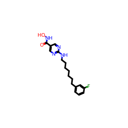 O=C(NO)c1cnc(NCCCCCCCc2cccc(F)c2)nc1